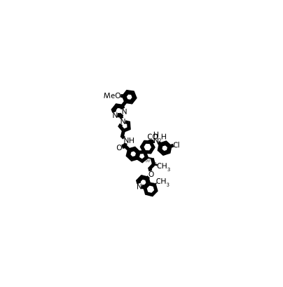 COc1ccccc1-c1ccnc(N2CCC(CNC(=O)c3ccc4c(c3)C3(CCC(Nc5cccc(Cl)c5)(C(=O)O)CC3)[C@@H](C[C@@H](C)COc3ccnc5c3[C@H](C)CCC5)C4)C2)n1